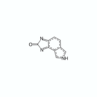 O=C1N=c2ccc3c[nH]cc3c2=N1